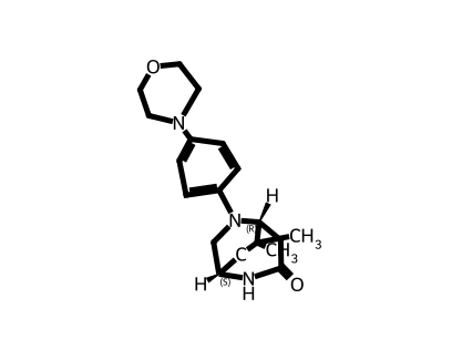 CC1(C)C[C@H]2CN(c3ccc(N4CCOCC4)cc3)[C@@H]1CC(=O)N2